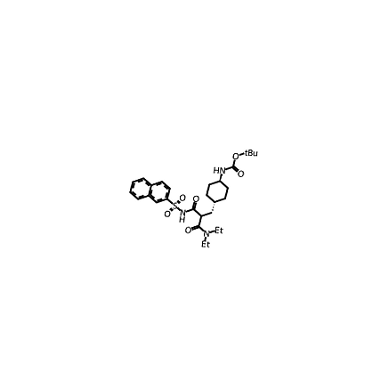 CCN(CC)C(=O)C(C[C@H]1CC[C@H](NC(=O)OC(C)(C)C)CC1)C(=O)NS(=O)(=O)c1ccc2ccccc2c1